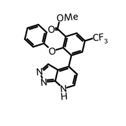 COC(=O)c1cc(C(F)(F)F)cc(-c2cc[nH]c3nncc2-3)c1Oc1ccccc1